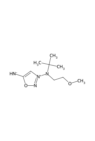 COCCN([n+]1cc([NH-])on1)C(C)(C)C